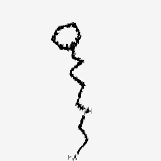 CCCNCCCCc1ccccc1